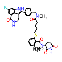 CN(Cc1ccc(-c2[nH]c3cc(F)cc4c3c2CCNC4=O)cc1)C(=O)CCCCSc1cccc(C=O)c1C(=O)N(C)C1CCC(=O)NC1=O